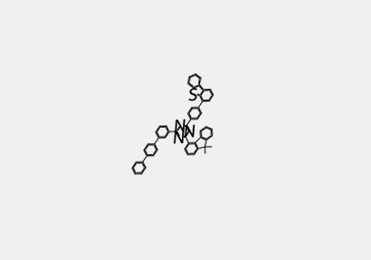 CC1(C)c2ccccc2-c2c(-c3nc(-c4ccc(-c5cccc6c5sc5ccccc56)cc4)nc(-c4cccc(-c5ccc(-c6ccccc6)cc5)c4)n3)cccc21